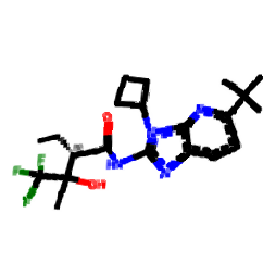 CC[C@H](C(=O)Nc1nc2ccc(C(C)(C)C)nc2n1C1CCC1)C(C)(O)C(F)(F)F